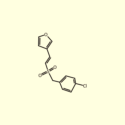 O=S(=O)(C=Cc1ccoc1)Cc1ccc(Cl)cc1